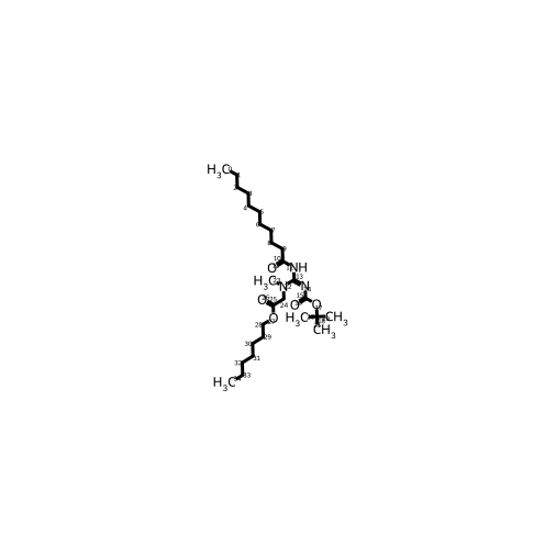 CCCCCCCCCCC(=O)N/C(=N/C(=O)OC(C)(C)C)N(C)CC(=O)OCCCCCCC